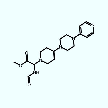 COC(=O)C(NC=O)N1CCC(N2CCN(c3ccncc3)CC2)CC1